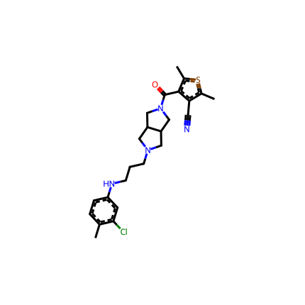 Cc1ccc(NCCCN2CC3CN(C(=O)c4c(C)sc(C)c4C#N)CC3C2)cc1Cl